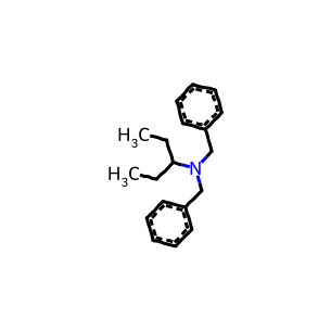 CCC(CC)N(Cc1ccccc1)Cc1ccccc1